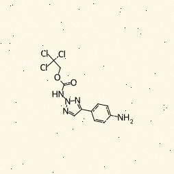 Nc1ccc(-c2cnn(NC(=O)OCC(Cl)(Cl)Cl)n2)cc1